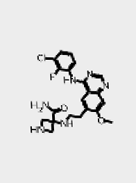 COc1cc2ncnc(Nc3cccc(Cl)c3F)c2cc1CCNC1(C(N)=O)CNC1